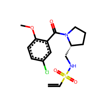 C=CS(=O)(=O)NC[C@H]1CCCN1C(=O)c1cc(Cl)ccc1OC